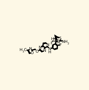 Cc1coc(COc2cnc3c(Nc4ccc(F)c([C@@]5(CF)N=C(N)S[C@@]6(CF)C[C@H]65)c4)nccc3n2)n1